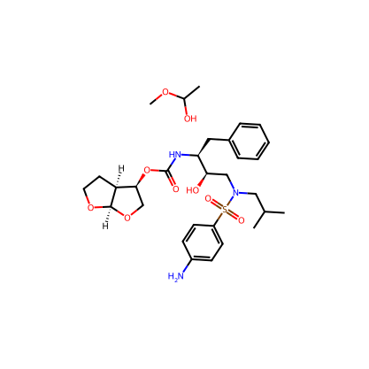 CC(C)CN(C[C@@H](O)[C@H](Cc1ccccc1)NC(=O)O[C@H]1CO[C@H]2OCC[C@H]21)S(=O)(=O)c1ccc(N)cc1.COC(C)O